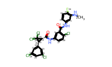 CNc1cc(NC(=O)c2cc(NC(=O)[C@@H]3[C@@H](c4cc(Cl)cc(Cl)c4)C3(Cl)Cl)ccc2Cl)ccc1F